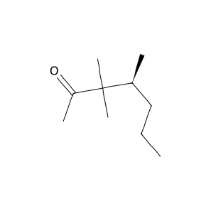 CCC[C@H](C)C(C)(C)C(C)=O